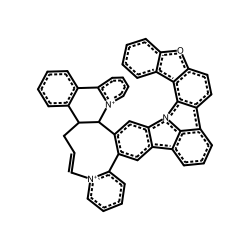 C1=C/[n+]2ccccc2-c2cc3c4cccc5c6ccc7oc8ccccc8c7c6n(c3cc2C2C(C/1)c1ccccc1-c1cccc[n+]12)c45